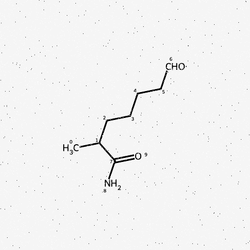 CC(CCCC[C]=O)C(N)=O